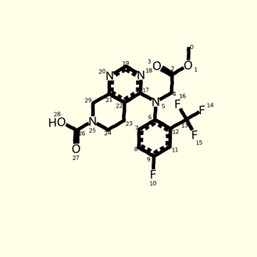 COC(=O)CN(c1ccc(F)cc1C(F)(F)F)c1ncnc2c1CCN(C(=O)O)C2